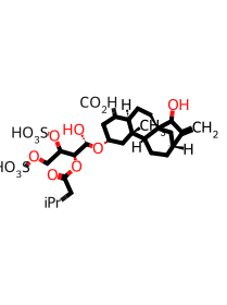 C=C1C(O)[C@@]23CC[C@@H]4C(C(=O)O)C[C@@H](O[C@@H](O)[C@@H](OC(=O)CC(C)C)C(COS(=O)(=O)O)OS(=O)(=O)O)C[C@@]4(C)[C@@H]2CC[C@@H]1C3